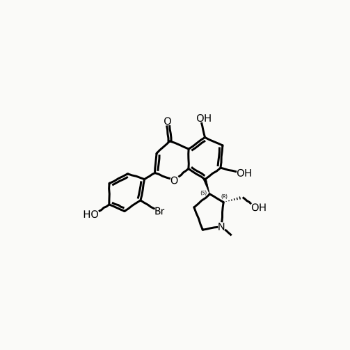 CN1CC[C@@H](c2c(O)cc(O)c3c(=O)cc(-c4ccc(O)cc4Br)oc23)[C@@H]1CO